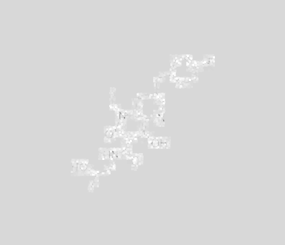 CCn1c(=O)c(C(=O)NCC(C)O)c(O)c2ncc(Cc3ccc(F)cc3)cc21